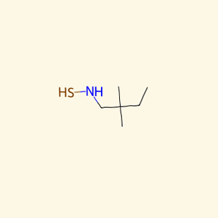 CCC(C)(C)CNS